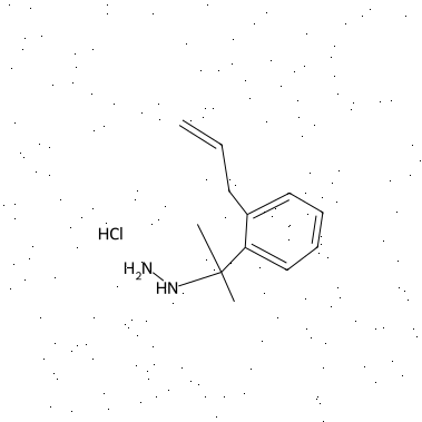 C=CCc1ccccc1C(C)(C)NN.Cl